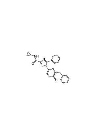 O=C(NC1CC1)c1nc(-c2ccccc2)c(-c2ccc(=O)n(Cc3ccccc3)n2)s1